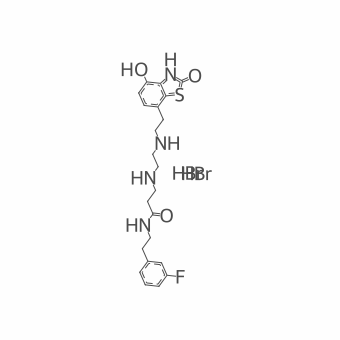 Br.Br.O=C(CCNCCNCCc1ccc(O)c2[nH]c(=O)sc12)NCCc1cccc(F)c1